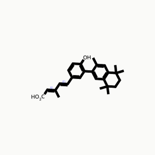 CC(/C=C/c1ccc(O)c(-c2cc3c(cc2C)C(C)(C)CCC3(C)C)c1)=C\C(=O)O